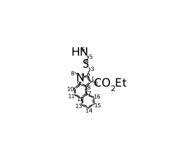 CCOC(=O)c1c(CSC=N)n(C)c2ccc3ccccc3c12